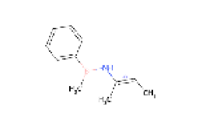 C/C=C(\C)NB(C)c1ccccc1